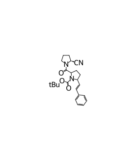 CC(C)(C)OC(=O)N1C(C=Cc2ccccc2)CCC1C(=O)N1CCC[C@H]1C#N